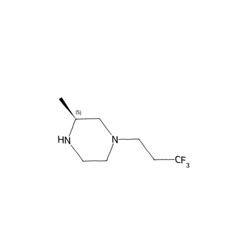 C[C@H]1CN(CCC(F)(F)F)CCN1